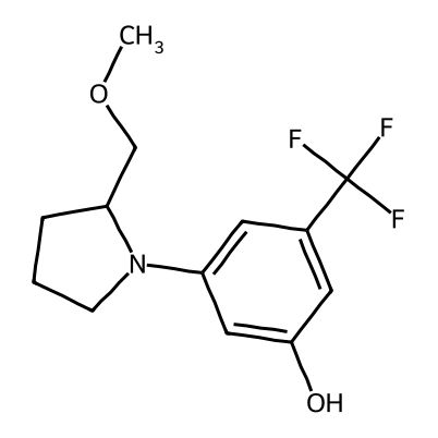 COCC1CCCN1c1cc(O)cc(C(F)(F)F)c1